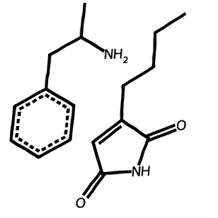 CC(N)Cc1ccccc1.CCCCC1=CC(=O)NC1=O